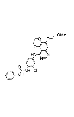 COCCOc1cc2ncnc(Nc3ccc(NC(=O)Nc4ccccc4)c(Cl)c3)c2c2c1OCCO2